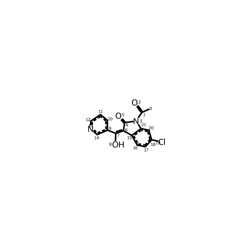 CC(=O)N1C(=O)/C(=C(/O)c2cccnc2)c2ccc(Cl)cc21